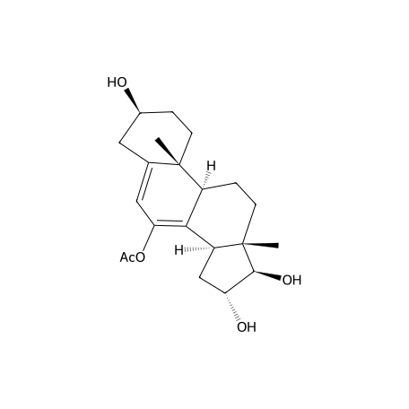 CC(=O)OC1=C2[C@@H]3C[C@@H](O)[C@H](O)[C@@]3(C)CC[C@@H]2[C@@]2(C)CC[C@H](O)CC2=C1